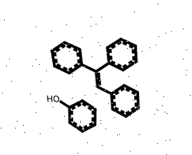 C(=C(c1ccccc1)c1ccccc1)c1ccccc1.Oc1ccccc1